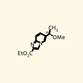 CCOC(=O)c1cn2cc([C@@H](C)OC)ccc2n1